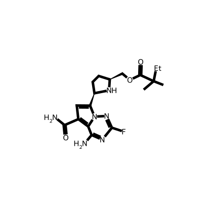 CCC(C)(C)C(=O)OC[C@@H]1CC[C@H](c2cc(C(N)=O)c3c(N)nc(F)nn23)N1